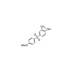 COc1ccc(S(=O)(=O)c2ccc(O)c(C)c2)cc1